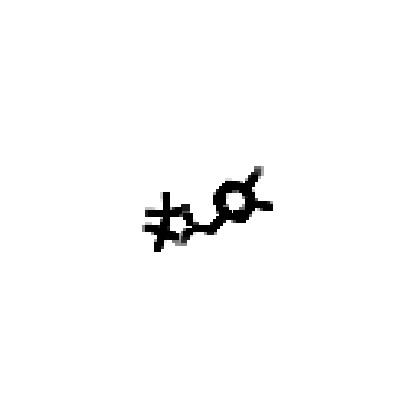 Cc1cc(CB2OC(C)(C)C(C)(C)O2)ccc1F